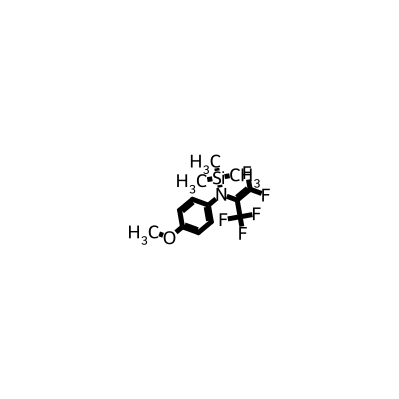 COc1ccc(N(C(=C(F)F)C(F)(F)F)[Si](C)(C)C)cc1